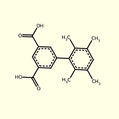 Cc1cc(C)c(C)c(-c2cc(C(=O)O)cc(C(=O)O)c2)c1C